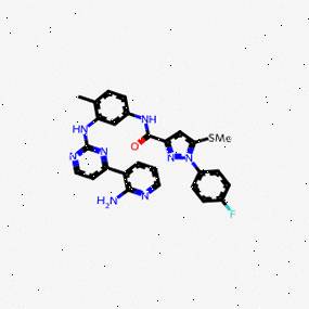 CSc1cc(C(=O)Nc2ccc(C)c(Nc3nccc(-c4cccnc4N)n3)c2)nn1-c1ccc(F)cc1